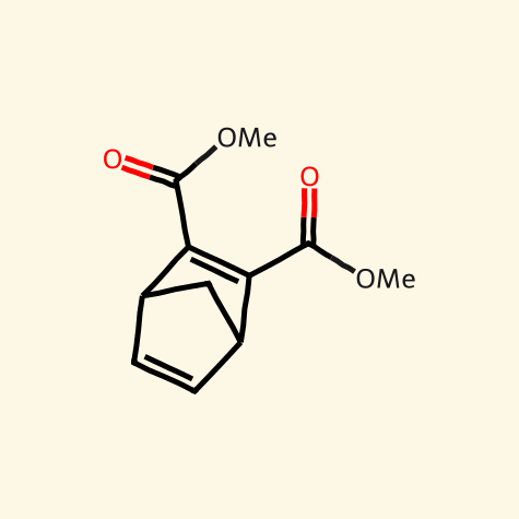 COC(=O)C1=C(C(=O)OC)C2C=CC1C2